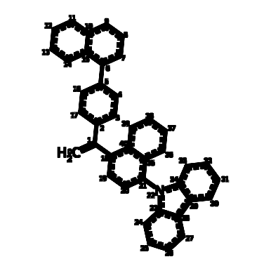 C=C(c1ccc(-c2cccc3ccccc23)cc1)c1ccc(-n2c3ccccc3c3ccccc32)c2ccccc12